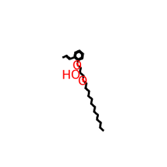 CC=Cc1ccccc1OCC(O)COCCCCCCCCCCCCC